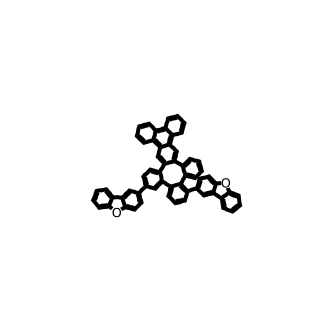 c1ccc2c(c1)-c1cc3c4ccccc4c4ccccc4c3cc1-c1ccc(-c3ccc4oc5ccccc5c4c3)cc1-c1cccc(-c3ccc4oc5ccccc5c4c3)c1-2